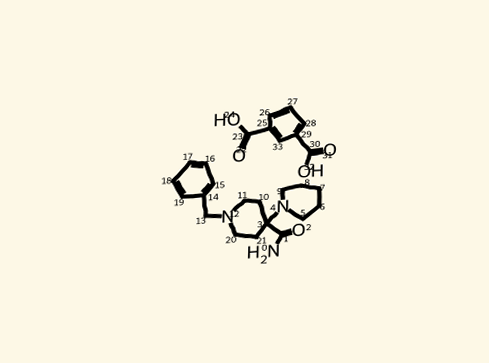 NC(=O)C1(N2CCCCC2)CCN(Cc2ccccc2)CC1.O=C(O)c1cccc(C(=O)O)c1